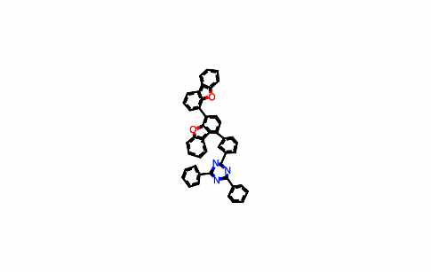 c1ccc(-c2nc(-c3ccccc3)nc(-c3cccc(-c4ccc(-c5cccc6c5oc5ccccc56)c5oc6ccccc6c45)c3)n2)cc1